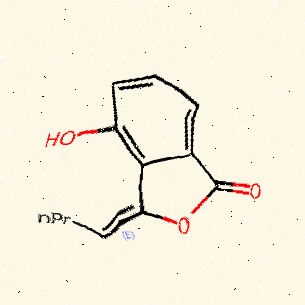 CCC/C=C1/OC(=O)c2cccc(O)c21